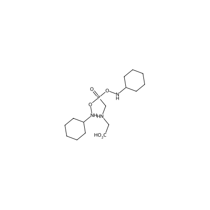 O=C(O)CNCP(=O)(ONC1CCCCC1)ONC1CCCCC1